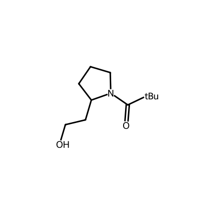 CC(C)(C)C(=O)N1CCCC1CCO